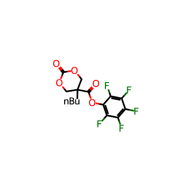 CCCCC1(C(=O)Oc2c(F)c(F)c(F)c(F)c2F)COC(=O)OC1